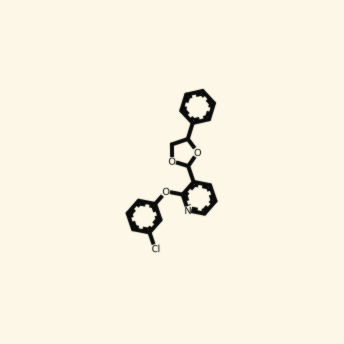 Clc1cccc(Oc2ncccc2C2OCC(c3ccccc3)O2)c1